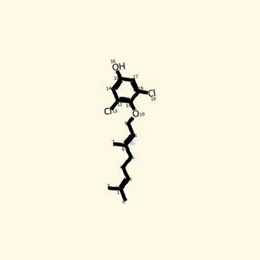 CC(C)=CCC/C(C)=C/COc1c(Cl)cc(O)cc1Cl